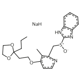 CCCC1(CCOc2ccnc(C[S+]([O-])c3nc4ccccc4[nH]3)c2C)OCCO1.[NaH]